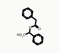 O=C(Cc1ccccc1)OC(C(=O)O)c1ccccc1